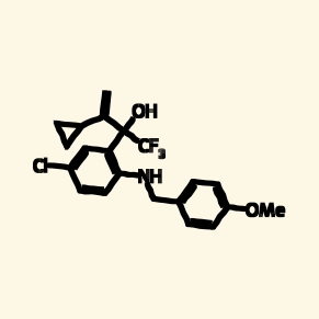 C=C(C1CC1)C(O)(c1cc(Cl)ccc1NCc1ccc(OC)cc1)C(F)(F)F